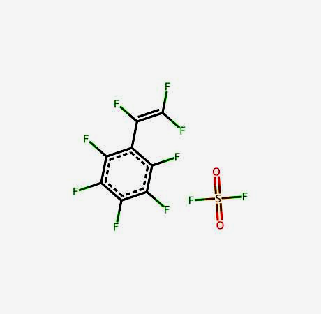 FC(F)=C(F)c1c(F)c(F)c(F)c(F)c1F.O=S(=O)(F)F